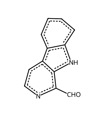 O=Cc1nccc2c1[nH]c1ccccc12